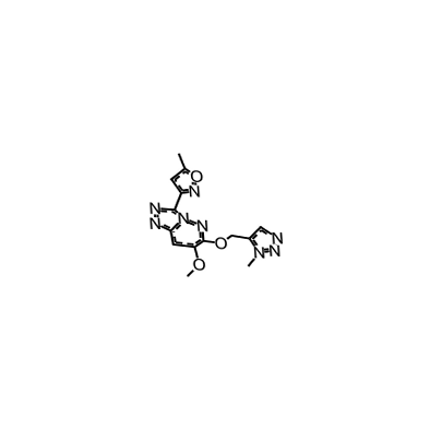 COc1cc2nnc(-c3cc(C)on3)n2nc1OCc1cnnn1C